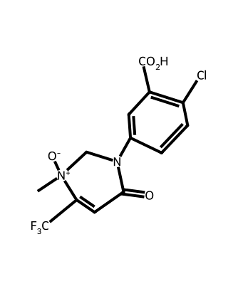 C[N+]1([O-])CN(c2ccc(Cl)c(C(=O)O)c2)C(=O)C=C1C(F)(F)F